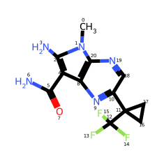 Cn1c(N)c(C(N)=O)c2nc(C3(C(F)(F)F)CC3)cnc21